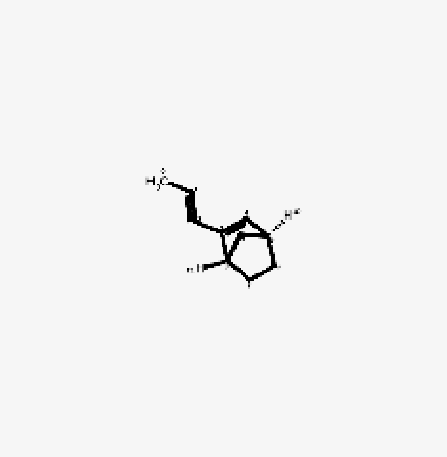 CC=CC1=C[C@H]2CC[C@H]1C2